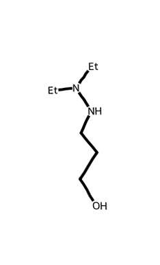 CCN(CC)NCCCO